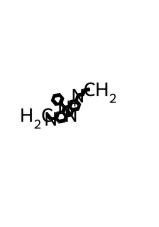 C=CC=Nc1ccc2nc3ccc(N=C)cc3[n+](-c3ccccc3)c2c1